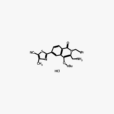 CCCCOc1c(CN)n(CC(C)C)c(=O)c2ccc(-c3nc(C)c(C#N)s3)cc12.Cl